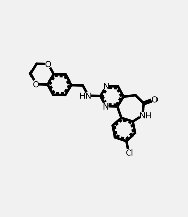 O=C1Cc2cnc(NCc3ccc4c(c3)OCCO4)nc2-c2ccc(Cl)cc2N1